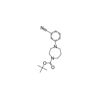 CC(C)(C)OC(=O)N1CCCN(c2cccc(C#N)c2)CC1